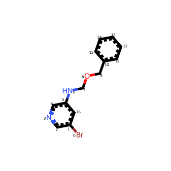 Brc1cncc(NCOCc2ccccc2)c1